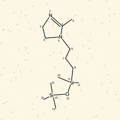 CC1=NCCN1CCC[Si](C)(C)O[Si](C)(C)C